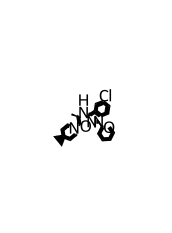 C[C@@H](Nc1nn([C@@H]2CCCCO2)c2ccc(Cl)cc12)C(=O)N1CCC2(CC1)CC2